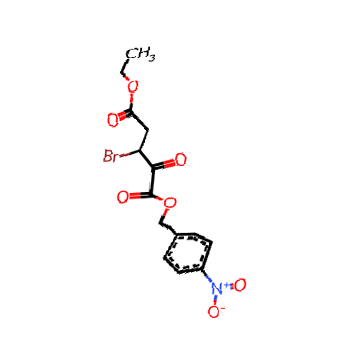 CCOC(=O)CC(Br)C(=O)C(=O)OCc1ccc([N+](=O)[O-])cc1